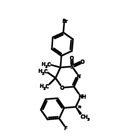 C[C@H](NC1=NS(=O)(=O)C(C)(c2ccc(Br)cc2)C(C)(C)O1)c1ccccc1F